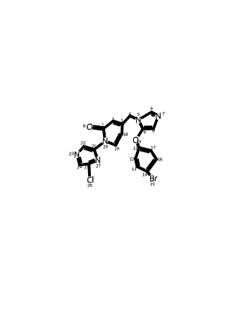 O=c1cc(Cn2cncc2Oc2ccc(Br)cc2)ccn1-c1cncc(Cl)n1